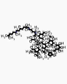 BC1=C(NC(=O)C2O[C@@H](O[C@@H]3C(C)O[C@@H](O[C@@H]4C(CO[C@@H]5OC(CO)[C@@H](O)[C@H](O)C5O)O[C@@H](OC5[C@@H](OP(=O)(O)OC[C@@H](OC/C=C(/C)CC/C=C/C(C)(C)CCC(=C)C/C=C(\C)CCC=C(C)C)C(=O)O)OC(C(N)=O)[C@@](C)(O)[C@@H]5OC(N)=O)C(NC(C)=O)[C@H]4O)C(NC(C)=O)[C@H]3O)[C@@H](O)C(O)[C@H]2O)C(=O)CC1